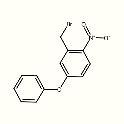 O=[N+]([O-])c1ccc(Oc2ccccc2)cc1CBr